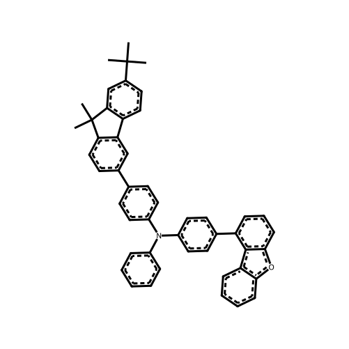 CC(C)(C)c1ccc2c(c1)C(C)(C)c1ccc(-c3ccc(N(c4ccccc4)c4ccc(-c5cccc6oc7ccccc7c56)cc4)cc3)cc1-2